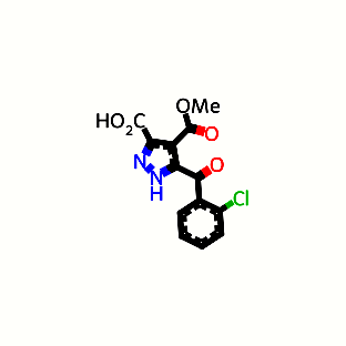 COC(=O)c1c(C(=O)O)n[nH]c1C(=O)c1ccccc1Cl